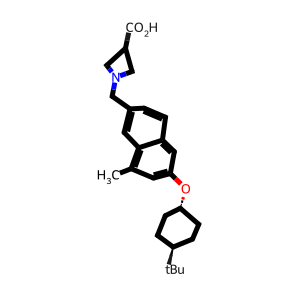 Cc1cc(O[C@H]2CC[C@H](C(C)(C)C)CC2)cc2ccc(CN3CC(C(=O)O)C3)cc12